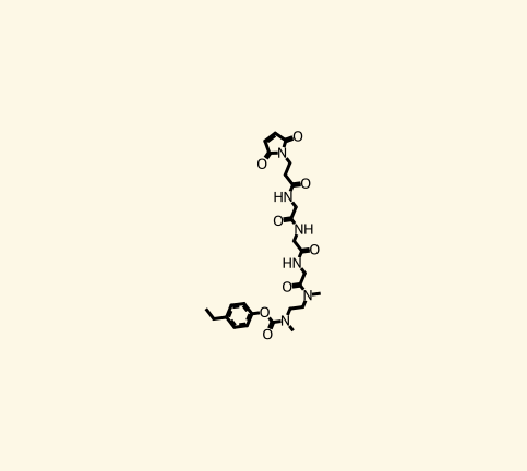 CCc1ccc(OC(=O)N(C)CCN(C)C(=O)CNC(=O)CNC(=O)CNC(=O)CCN2C(=O)C=CC2=O)cc1